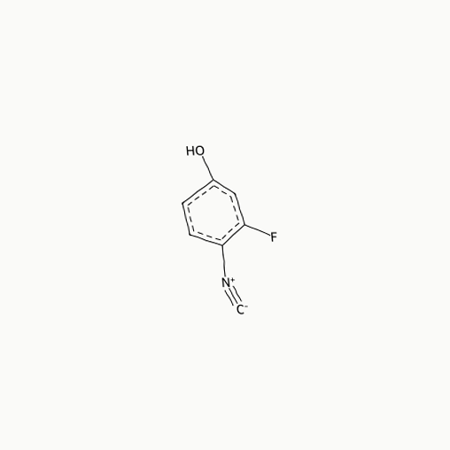 [C-]#[N+]c1ccc(O)cc1F